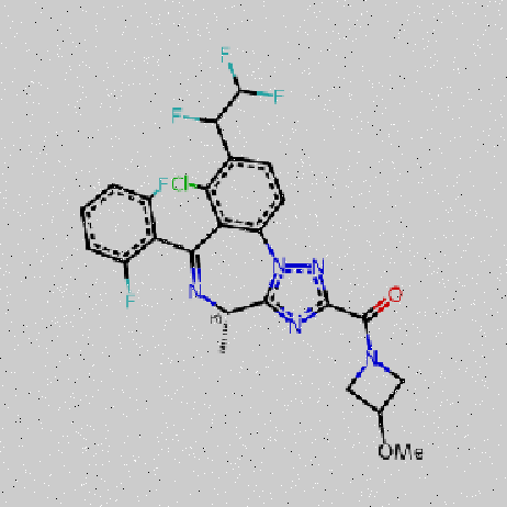 COC1CN(C(=O)c2nc3n(n2)-c2ccc(C(F)C(F)F)c(Cl)c2C(c2c(F)cccc2F)=N[C@H]3C)C1